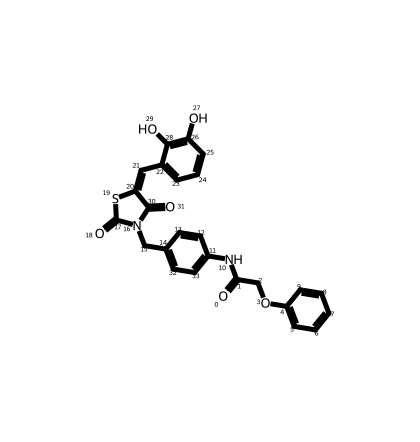 O=C(COc1ccccc1)Nc1ccc(CN2C(=O)SC(=Cc3cccc(O)c3O)C2=O)cc1